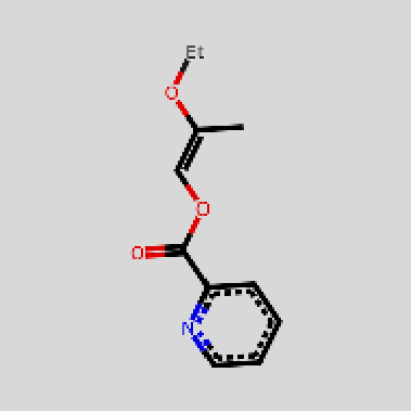 CCO/C(C)=C/OC(=O)c1ccccn1